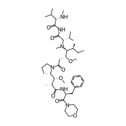 CC[C@H](C)[C@@H]([C@@H](CC(=O)N1CCC[C@H]1[C@H](OC)[C@@H](C)C(=O)N[C@@H](Cc1ccccc1)C(=O)N1CCOCC1)OC)N(C)[C@H](C(=O)NC(=O)[C@@H](NC)C(C)C)C(C)C